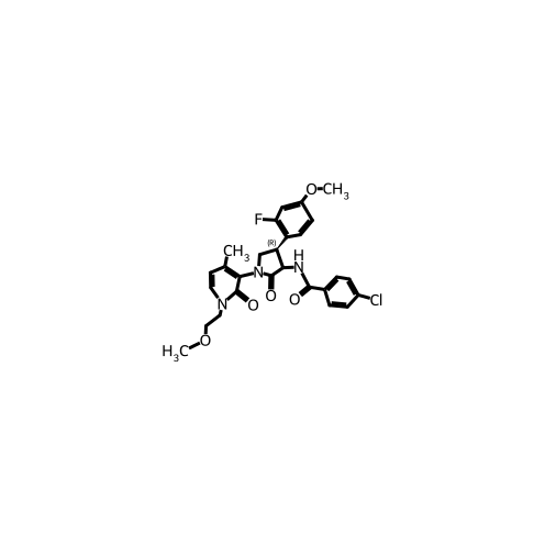 COCCn1ccc(C)c(N2C[C@@H](c3ccc(OC)cc3F)C(NC(=O)c3ccc(Cl)cc3)C2=O)c1=O